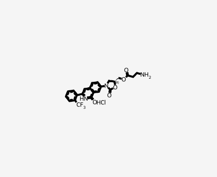 Cl.NCCC(=O)OC[C@H]1CN(c2ccc3cc(-c4ccccc4C(F)(F)F)[nH]c(=O)c3c2)C(=O)O1